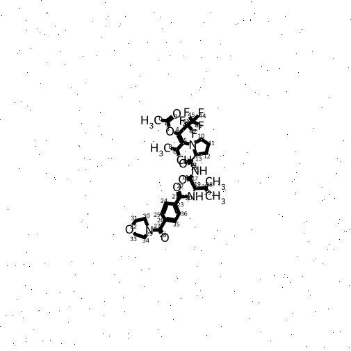 CC(=O)O/C(=C(\C(C)C)N1CCC[C@H]1C(=O)NC(=O)[C@@H](NC(=O)c1ccc(C(=O)N2CCOCC2)cc1)C(C)C)C(F)(F)C(F)(F)F